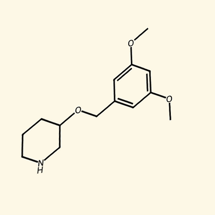 COc1cc(COC2CCCNC2)cc(OC)c1